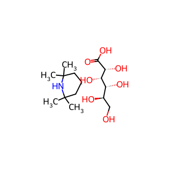 CC1(C)C[CH]CC(C)(C)N1.O=C(O)[C@H](O)[C@@H](O)[C@H](O)[C@H](O)CO